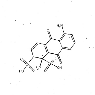 Nc1cccc2c1C(=O)C1=C(C2=O)C(N)(S(=O)(=O)O)C(S(=O)(=O)O)C=C1